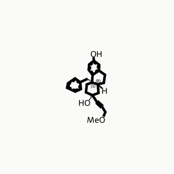 COCC#C[C@@]1(O)CC[C@@]2(Cc3ccccc3)c3ccc(O)cc3CC[C@@H]2C1